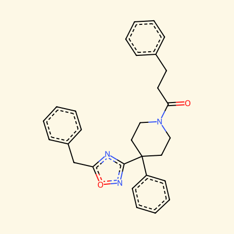 O=C(CCc1ccccc1)N1CCC(c2ccccc2)(c2noc(Cc3ccccc3)n2)CC1